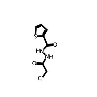 O=C(CCl)NNC(=O)c1cccs1